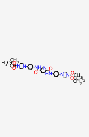 CC(C)(C)OC(=O)N1CCN(c2ccc(NC(=O)c3ccc(C(=O)Nc4ccc(N5CCN(C(=O)OC(C)(C)C)CC5)cc4)nc3)cc2)CC1